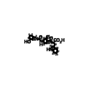 O=C(NCc1cccc(O)c1)Nc1ccc(C(=O)N[C@@H](Cc2c[nH]c3ccccc23)C(=O)O)c(Cl)c1